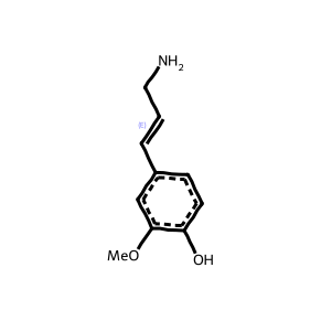 COc1cc(/C=C/CN)ccc1O